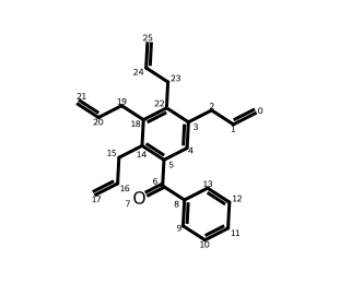 C=CCc1cc(C(=O)c2ccccc2)c(CC=C)c(CC=C)c1CC=C